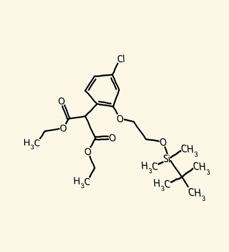 CCOC(=O)C(C(=O)OCC)c1ccc(Cl)cc1OCCO[Si](C)(C)C(C)(C)C